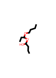 CCCCOC(CC)OC(O)CCC